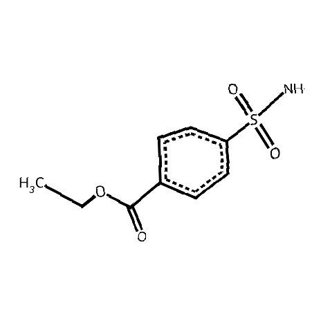 CCOC(=O)c1ccc(S([NH])(=O)=O)cc1